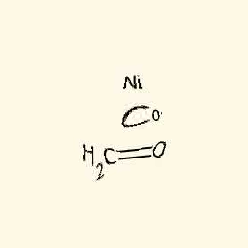 C=O.[Co].[Ni]